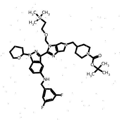 CC(C)(C)OC(=O)N1CCC(CN2Cc3nc(-c4nn(C5CCCCO5)c5ccc(NCc6cc(F)cc(F)c6)cc45)n(COCC[Si](C)(C)C)c3C2)CC1